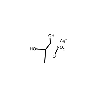 CC(O)CO.O=[N+]([O-])[O-].[Ag+]